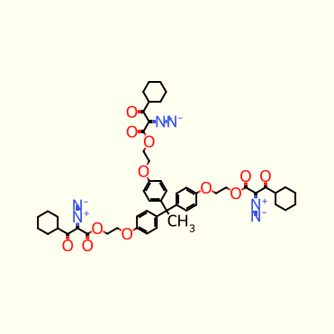 CC(c1ccc(OCCOC(=O)C(=[N+]=[N-])C(=O)C2CCCCC2)cc1)(c1ccc(OCCOC(=O)C(=[N+]=[N-])C(=O)C2CCCCC2)cc1)c1ccc(OCCOC(=O)C(=[N+]=[N-])C(=O)C2CCCCC2)cc1